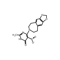 Cc1nc(N2CCc3cc4c(cc3CC2)OCO4)c([N+](=O)[O-])c(=O)[nH]1